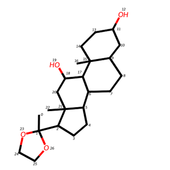 CC1(C2CCC3C4CCC5CC(O)CCC5(C)C4C(O)CC32C)OCCO1